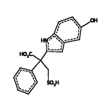 O=C(O)C(CS(=O)(=O)O)(c1ccccc1)c1cc2cc(O)ccc2[nH]1